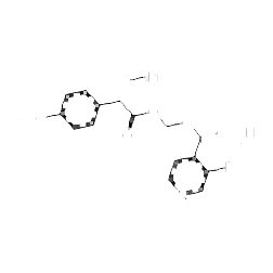 Cc1ccc([C@H](OC(C)C)C(=O)OCO[C@H](C(=O)O)c2ccncc2F)cc1